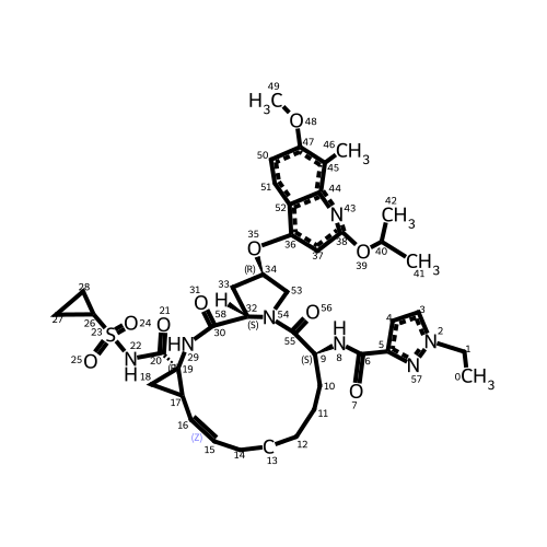 CCn1ccc(C(=O)N[C@H]2CCCCC/C=C\C3C[C@@]3(C(=O)NS(=O)(=O)C3CC3)NC(=O)[C@@H]3C[C@@H](Oc4cc(OC(C)C)nc5c(C)c(OC)ccc45)CN3C2=O)n1